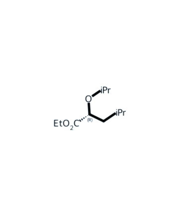 CCOC(=O)[C@@H](CC(C)C)OC(C)C